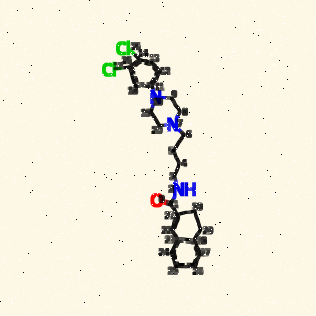 O=C(NCCCCN1CCN(c2ccc(Cl)c(Cl)c2)CC1)C1=Cc2ccccc2CC1